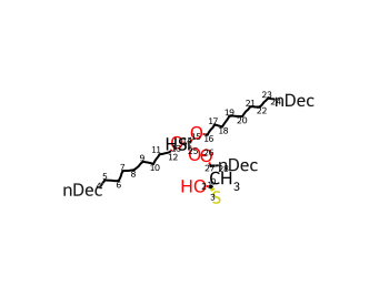 CC(O)=S.CCCCCCCCCCCCCCCCCCO[SiH](OCCCCCCCCCCCCCCCCCC)OOCCCCCCCCCCC